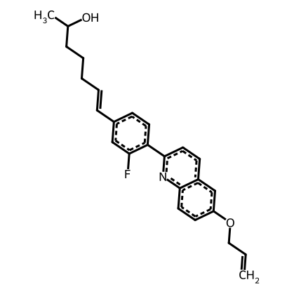 C=CCOc1ccc2nc(-c3ccc(/C=C/CCCC(C)O)cc3F)ccc2c1